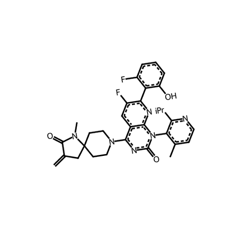 C=C1CC2(CCN(c3nc(=O)n(-c4c(C)ccnc4C(C)C)c4nc(-c5c(O)cccc5F)c(F)cc34)CC2)N(C)C1=O